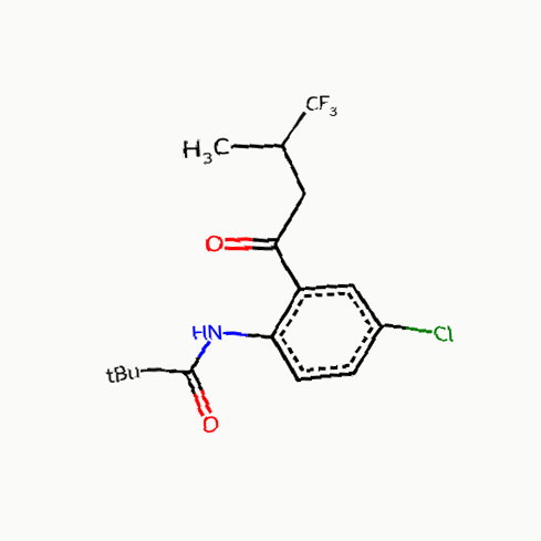 CC(CC(=O)c1cc(Cl)ccc1NC(=O)C(C)(C)C)C(F)(F)F